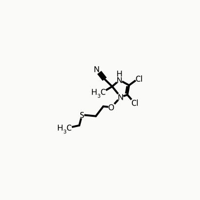 CCSCCON1C(Cl)=C(Cl)NC1(C)C#N